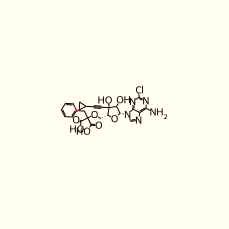 Nc1nc(Cl)nc2c1ncn2[C@@H]1O[C@H](COC(Cc2ccccc2)(C(=O)O)C(=O)O)[C@](O)(C#CC2CC2)[C@H]1O